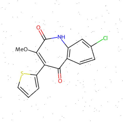 COc1c(-c2cccs2)c(=O)c2ccc(Cl)cc2[nH]c1=O